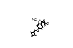 O=C(O)C1(c2ccc(OCC3CCC3)cc2)CC1(Cl)Cl